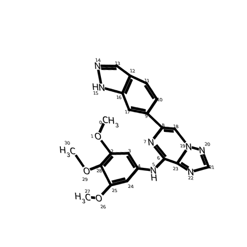 COc1cc(Nc2nc(-c3ccc4cn[nH]c4c3)cn3ncnc23)cc(OC)c1OC